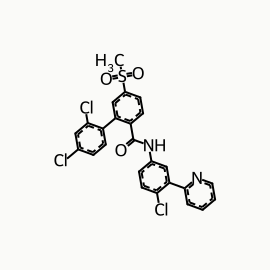 CS(=O)(=O)c1ccc(C(=O)Nc2ccc(Cl)c(-c3ccccn3)c2)c(-c2ccc(Cl)cc2Cl)c1